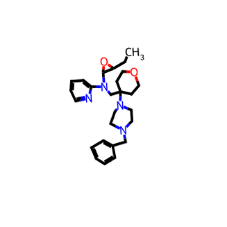 CCC1OC1N(CC1(N2CCN(Cc3ccccc3)CC2)CCOCC1)c1ccccn1